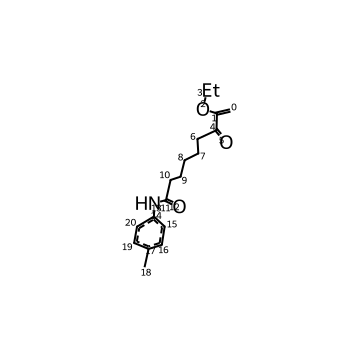 C=C(OCC)C(=O)CCCCCC(=O)Nc1ccc(C)cc1